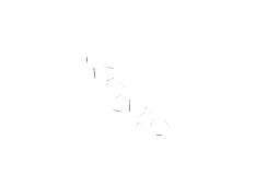 C=Cc1ccc(N2c3cccc(-c4nc5c(C)c(C)ccc5[nH]4)c3OCC2CO)nc1